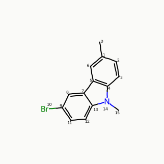 Cc1ccc2c(c1)c1cc(Br)ccc1n2C